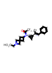 CC/C(=C\c1ccccc1)[C@H]1C[C@@H]1N(C(=O)C(F)(F)F)C1CC2(C1)CN(CC(=O)O)C2